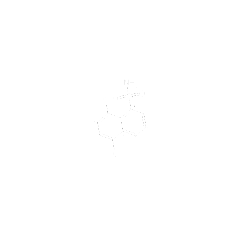 NS(=O)(=O)c1cccc2c(Cl)ccc([O])c12